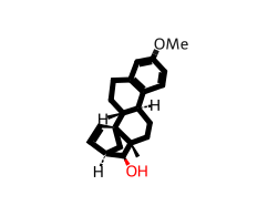 COc1ccc2c(c1)CC[C@@H]1[C@@H]2CC[C@]2(C)[C@@H](O)[C@H]3C=C[C@@]12C3